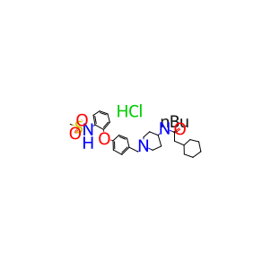 CCCCN(C(=O)CC1CCCCC1)C1CCN(Cc2ccc(Oc3ccccc3NS(C)(=O)=O)cc2)CC1.Cl